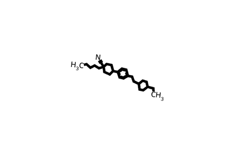 CCCCCC1(C#N)CCC(c2ccc(CCC3CCC(CC)CC3)cc2)CC1